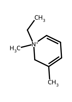 CC[N+]1(C)C=CC=C(C)C1